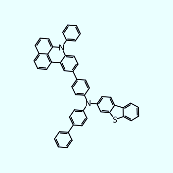 c1ccc(-c2ccc(N(c3ccc(-c4ccc5c(c4)-c4cccc6cccc(c46)N5c4ccccc4)cc3)c3ccc4c(c3)sc3ccccc34)cc2)cc1